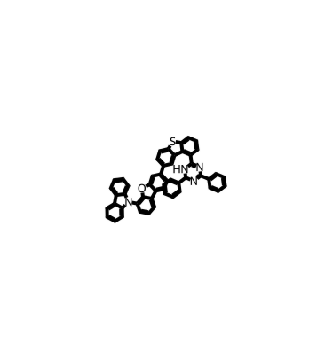 c1ccc(C2=NC(c3ccccc3)NC(c3cccc4sc5ccc(-c6ccc7c(c6)oc6c(-n8c9ccccc9c9ccccc98)cccc67)cc5c34)=N2)cc1